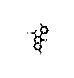 Cc1cccc(-c2c(C(C)N)cc3ccc(F)cn3c2=O)c1